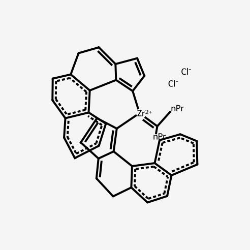 CCC[C](CCC)=[Zr+2]([C]1=C2C(=CCc3ccc4ccccc4c32)C=C1)[C]1=C2C(=CCc3ccc4ccccc4c32)C=C1.[Cl-].[Cl-]